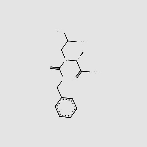 COC(=O)[C@H](C)N(CC(OC)OC)C(=O)OCc1ccccc1